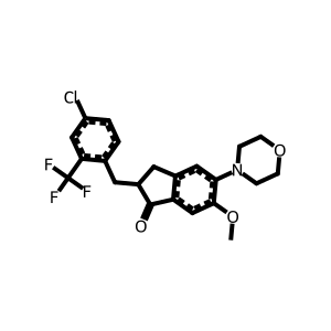 COc1cc2c(cc1N1CCOCC1)CC(Cc1ccc(Cl)cc1C(F)(F)F)C2=O